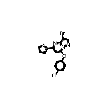 Clc1ccc(Oc2cc(-c3cccs3)nc3c(Br)cnn23)cc1